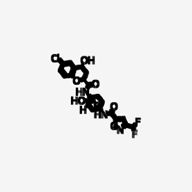 O=C(NC12CCC(NC(=O)[C@@H]3C[C@H](O)c4cc(Cl)ccc4O3)(CC1)[C@@H](O)C2)c1cc(C(F)F)no1